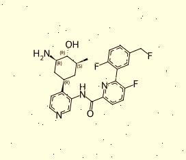 C[C@H]1C[C@@H](c2ccncc2NC(=O)c2ccc(F)c(-c3cc(CF)ccc3F)n2)C[C@@H](N)[C@@H]1O